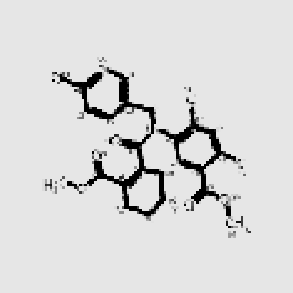 COC(=O)C1=C(C(=O)N(Cc2ccc(Cl)nc2)c2cc(C(=O)OC)c(Cl)cc2Cl)CCCC1